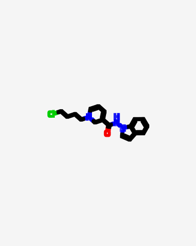 O=C(Nn1ccc2ccccc21)C1=CC=CN(CCCCCl)C1